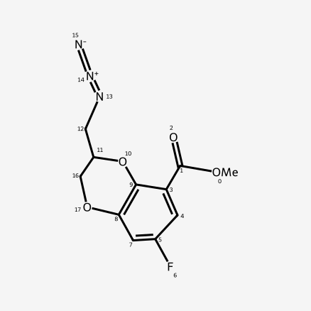 COC(=O)c1cc(F)cc2c1OC(CN=[N+]=[N-])CO2